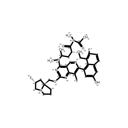 CCc1c(F)ccc2cc(O)cc(-c3ncc4c(N(C)C(C)CCC(=O)N(C)C(C)=O)nc(OC[C@@]56CCCN5C[C@H](F)C6)nc4c3F)c12